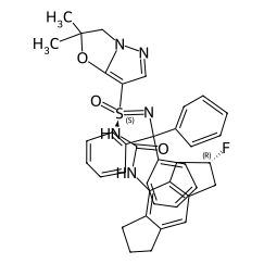 CC1(C)Cn2ncc([S@@](=O)(=NC(c3ccccc3)(c3ccccc3)c3ccccc3)NC(=O)Nc3c4c(cc5c3C[C@H](F)C5)CCC4)c2O1